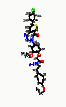 COc1ccc(CCNC(=O)COc2ccc(-n3cnc4cc(-c5ccc(Cl)cc5)sc4c3=O)cc2OC)cc1